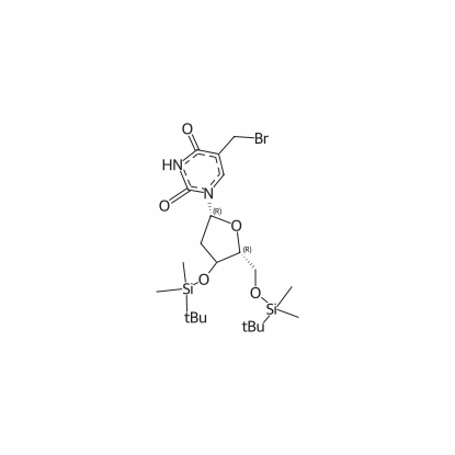 CC(C)(C)[Si](C)(C)OC[C@H]1O[C@@H](n2cc(CBr)c(=O)[nH]c2=O)CC1O[Si](C)(C)C(C)(C)C